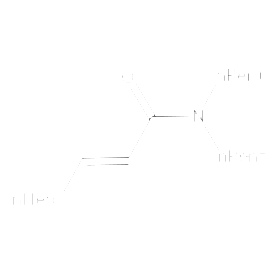 CCCCCCC/C=C/C(=O)N(CCCCC)CCCCC